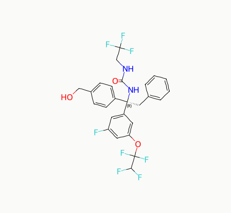 O=C(NCC(F)(F)F)N[C@](Cc1ccccc1)(c1ccc(CO)cc1)c1cc(F)cc(OC(F)(F)C(F)F)c1